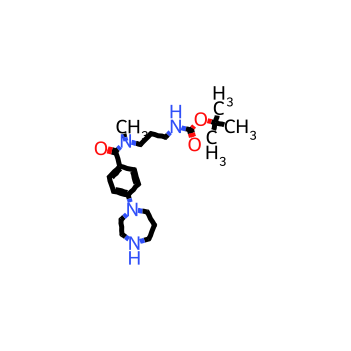 CN(CCCNC(=O)OC(C)(C)C)C(=O)c1ccc(N2CCCNCC2)cc1